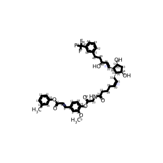 COc1cc(/C=C/C(=O)Oc2cccc(C)c2)ccc1OC(=O)CNC(=O)CCC/C=C\C[C@@H]1[C@@H](/C=C/[C@@H](O)CCc2cccc(C(F)(F)F)c2)[C@H](O)C[C@@H]1O